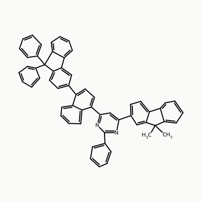 CC1(C)c2ccccc2-c2ccc(-c3cc(-c4ccc(-c5ccc6c(c5)-c5ccccc5C6(c5ccccc5)c5ccccc5)c5ccccc45)nc(-c4ccccc4)n3)cc21